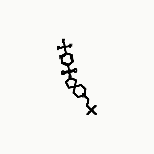 CC(C)(C)CCN1CCC2(CC1)CCN(S(=O)(=O)c1ccc(C(F)(F)F)nc1)C2